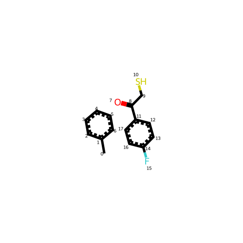 Cc1ccccc1.O=C(CS)c1ccc(F)cc1